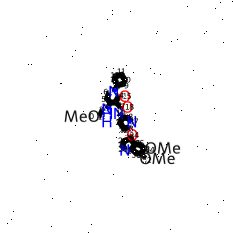 COCCNc1ccn(-c2ccccc2)c(=O)c1C(=O)Nc1ccc(Oc2ccnc3cc(OC)c(OC)cc23)nc1